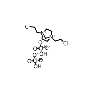 ClCC[N+]12CC[N+](CCCl)(CC1)C2.[O-][Cl+3]([O-])([O-])O.[O-][Cl+3]([O-])([O-])O